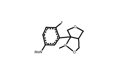 CNc1ccc(F)c(C23COCC2CON3C)c1